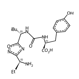 CCC(C)[C@H](NC(=O)N[C@@H](Cc1ccc(O)cc1)C(=O)O)c1nc([C@@H](N)CC)no1